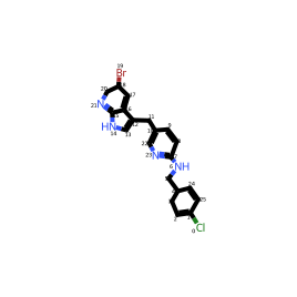 ClC1=CCC(CNc2ccc(Cc3c[nH]c4c3=CC(Br)CN=4)cn2)C=C1